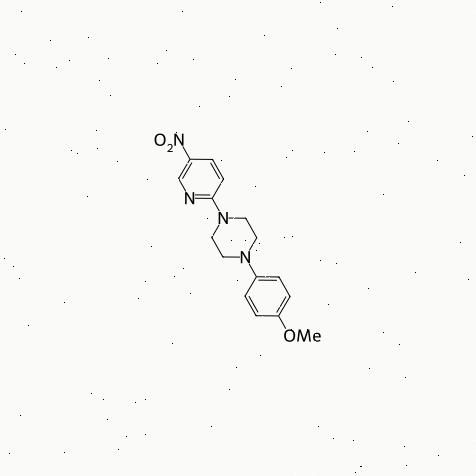 COc1ccc(N2CCN(c3ccc([N+](=O)[O-])cn3)CC2)cc1